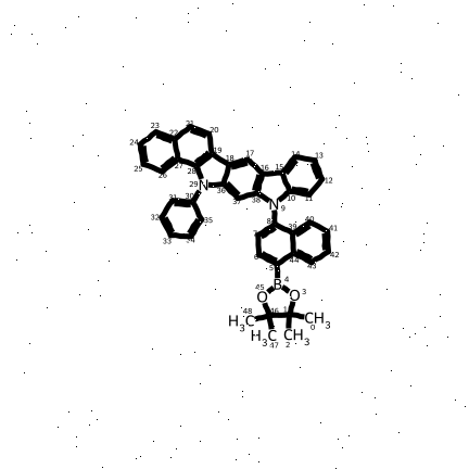 CC1(C)OB(c2ccc(-n3c4ccccc4c4cc5c6ccc7ccccc7c6n(-c6ccccc6)c5cc43)c3ccccc23)OC1(C)C